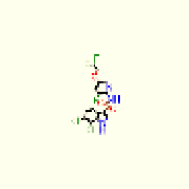 O=S(=O)(Nc1ncc(OCC(F)F)cc1F)c1c[nH]c2c(Cl)c(Cl)ccc12